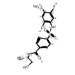 CC(C)(C)[C@@H](CO)NC(=O)c1ccc(S(=O)(=O)Nc2cc(F)c(C(=O)O)cc2F)cc1